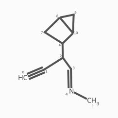 C#CC(/C=N/C)C1CC2CC21